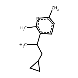 [CH2]C(CC1CC1)c1ccc(C)nc1C